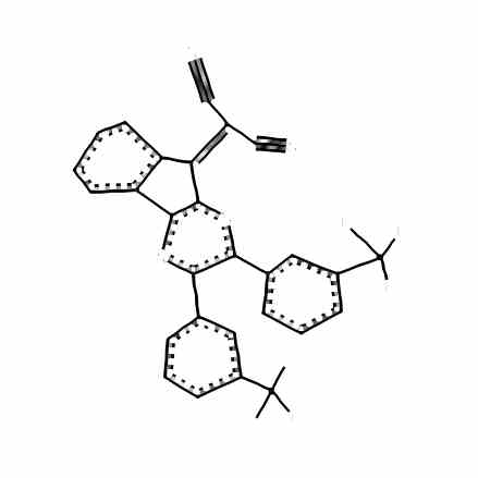 N#CC(C#N)=C1c2ccccc2-c2nc(-c3cccc(C(F)(F)F)c3)c(-c3cccc(C(F)(F)F)c3)nc21